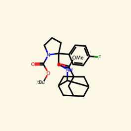 COC(=O)C12CC3CC(C1)C(NCC1(c4ccc(F)cc4)CCCN1C(=O)OC(C)(C)C)C(C3)C2